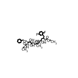 CCOC(=O)NC(CC(=O)NCC(C)(C)CNC(=O)[C@@H](O)[C@@H](COCc1ccccc1)NC(=O)OCC)Cc1cc(F)ccc1F